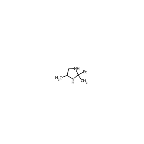 CCC1(C)NCC(C)N1